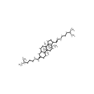 CN(C)CCCON=CC1CC[C@@]2(O)[C@@H]3CCC4CC(=NOCCCN(C)C)CC[C@]4(C)[C@@H]3CC[C@]12C